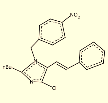 CCCCc1nc(Cl)c(C=Cc2ccccc2)n1Cc1ccc([N+](=O)[O-])cc1